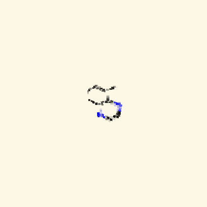 CC1=CCCc2nccnc21